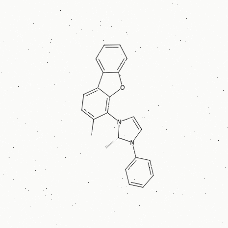 Cc1ccc2c(oc3ccccc32)c1N1C=CN(c2ccccc2)[C@@H]1C